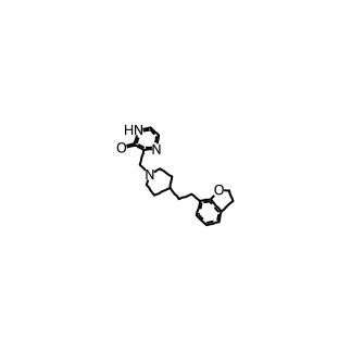 O=c1[nH]ccnc1CN1CCC(CCc2cccc3c2OCC3)CC1